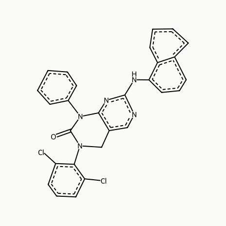 O=C1N(c2c(Cl)cccc2Cl)Cc2cnc(Nc3cccc4ccccc34)nc2N1c1ccccc1